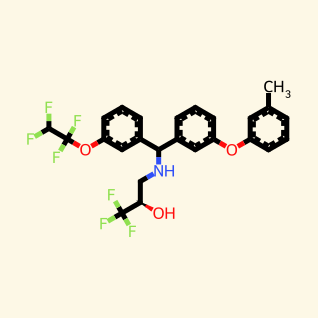 Cc1cccc(Oc2cccc(C(NC[C@@H](O)C(F)(F)F)c3cccc(OC(F)(F)C(F)F)c3)c2)c1